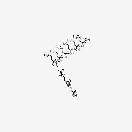 CCCC(=O)O.CCCC(=O)O.CCCC(=O)O.CCCC(=O)O.CCCC(=O)O.CCCC(=O)O.CCCC(=O)O.CCCC(=O)O.CCCC(=O)O.CO